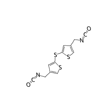 O=C=NCc1csc(Sc2cc(CN=C=O)cs2)c1